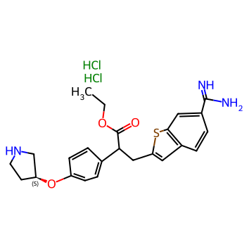 CCOC(=O)C(Cc1cc2ccc(C(=N)N)cc2s1)c1ccc(O[C@H]2CCNC2)cc1.Cl.Cl